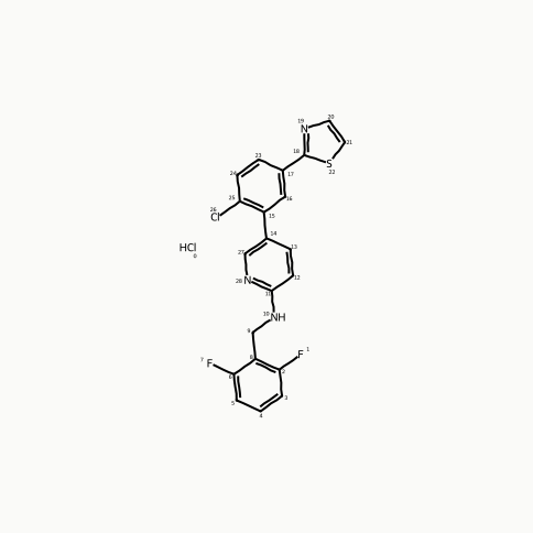 Cl.Fc1cccc(F)c1CNc1ccc(-c2cc(-c3nccs3)ccc2Cl)cn1